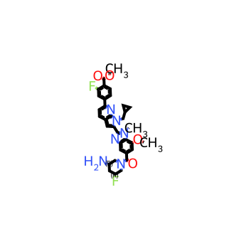 COC(=O)c1ccc(-c2ccc3cc(-c4nc5cc(C(=O)N6C[C@H](N)C[C@@H](F)C6)cc(OC)c5n4C)n(CC4CC4)c3n2)cc1F